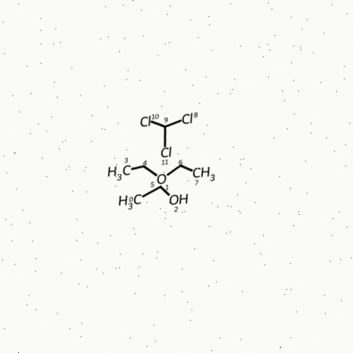 CCO.CCOCC.ClC(Cl)Cl